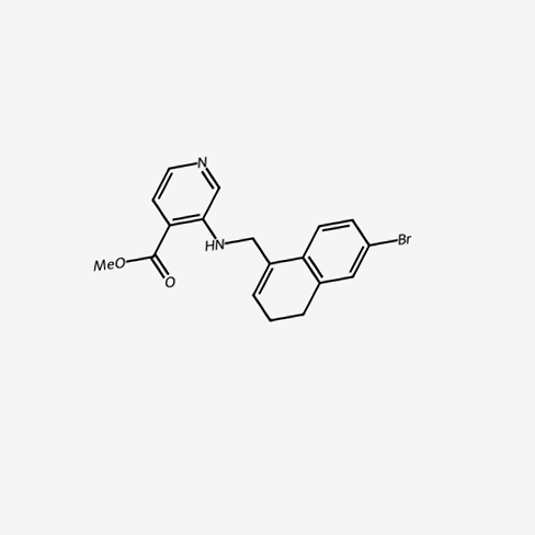 COC(=O)c1ccncc1NCC1=CCCc2cc(Br)ccc21